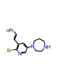 CCCC=Cc1cc(N2CCCNCC2)cnc1Br